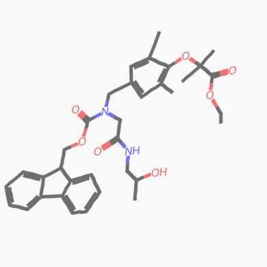 CCOC(=O)C(C)(C)Oc1c(C)cc(CN(CC(=O)NCC(C)O)C(=O)OCC2c3ccccc3-c3ccccc32)cc1C